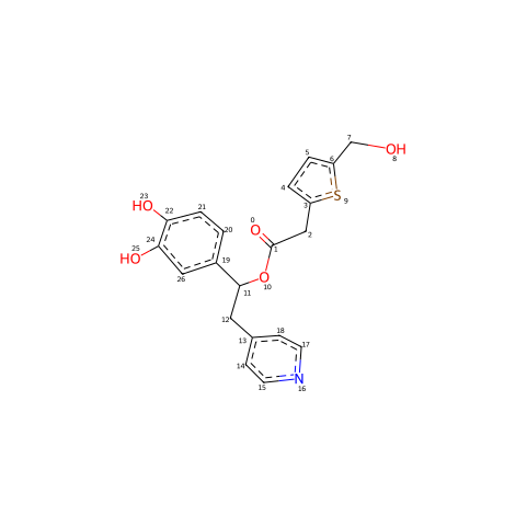 O=C(Cc1ccc(CO)s1)OC(Cc1ccncc1)c1ccc(O)c(O)c1